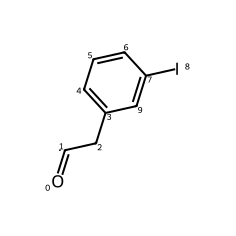 O=[C]Cc1cccc(I)c1